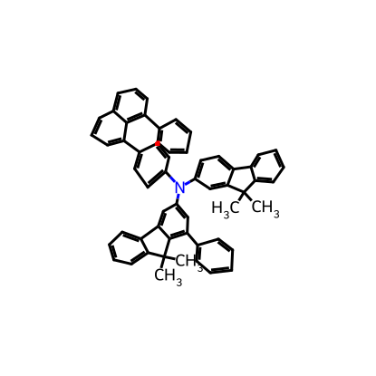 CC1(C)c2ccccc2-c2ccc(N(c3ccc(-c4cccc5cccc(-c6ccccc6)c45)cc3)c3cc(-c4ccccc4)c4c(c3)-c3ccccc3C4(C)C)cc21